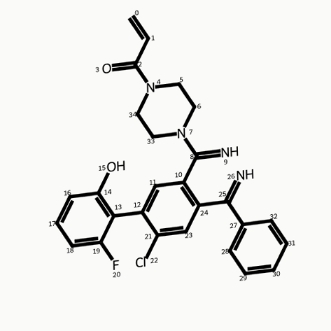 C=CC(=O)N1CCN(C(=N)c2cc(-c3c(O)cccc3F)c(Cl)cc2C(=N)c2ccccc2)CC1